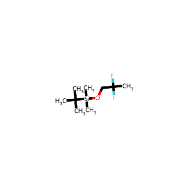 CC(F)(F)CO[Si](C)(C)C(C)(C)C